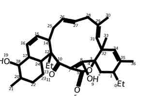 CCC1CC23OC(=O)C(=C2O)C(=O)C2(CC)C(C=CC4C(O)C(C)CCC42)C/C=C/C/C(C)=C/C3(C)C=C1C